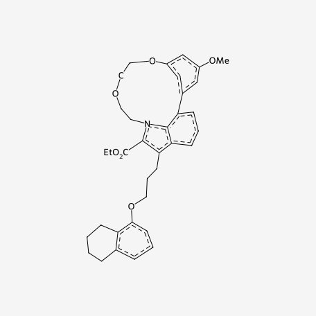 CCOC(=O)c1c(CCCOc2cccc3c2CCCC3)c2cccc3c2n1CCOCCOc1cc(OC)cc-3c1